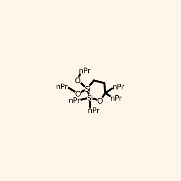 CCCO[Si]1(OCCC)CCC(CCC)(CCC)O[Si]1(CCC)CCC